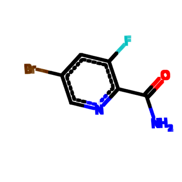 NC(=O)c1ncc(Br)cc1F